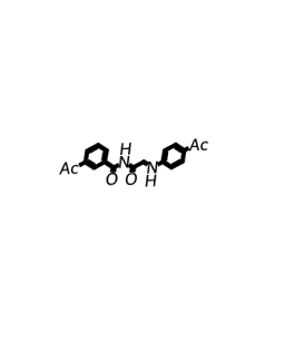 CC(=O)c1ccc(NCC(=O)NC(=O)c2cccc(C(C)=O)c2)cc1